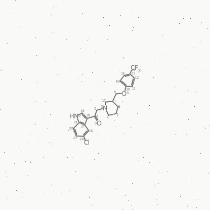 O=C(CN1CCCC(COc2ccc(C(F)(F)F)cc2)C1)c1c[nH]c2ccc(Cl)cc12